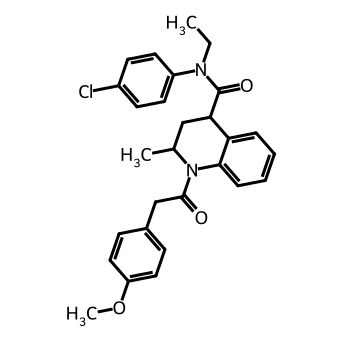 CCN(C(=O)C1CC(C)N(C(=O)Cc2ccc(OC)cc2)c2ccccc21)c1ccc(Cl)cc1